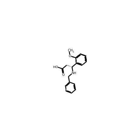 COc1ccccc1[C@@H](CC(=O)O)NCc1ccccc1